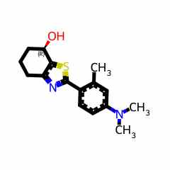 Cc1cc(N(C)C)ccc1-c1nc2c(s1)[C@H](O)CCC2